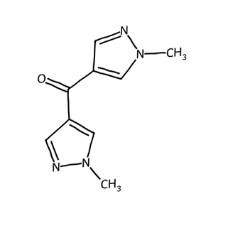 Cn1cc(C(=O)c2cnn(C)c2)cn1